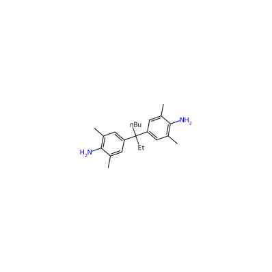 CCCCC(CC)(c1cc(C)c(N)c(C)c1)c1cc(C)c(N)c(C)c1